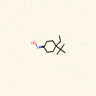 CCC1(C(C)(C)C)CCC(=NO)CC1